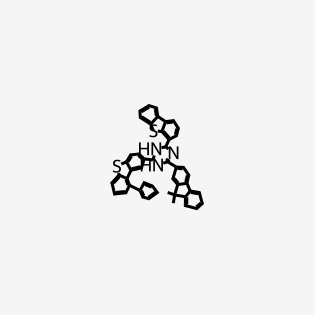 CC1(C)c2ccccc2-c2ccc(C3=NC(c4cccc5c4sc4ccccc45)NC(c4ccc5sc6cccc(-c7ccccc7)c6c5c4)N3)cc21